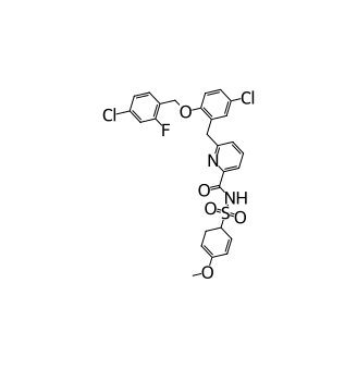 COC1=CCC(S(=O)(=O)NC(=O)c2cccc(Cc3cc(Cl)ccc3OCc3ccc(Cl)cc3F)n2)C=C1